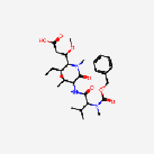 CC[C@H](C)C(C(CC(=O)O)OC)N(C)C(=O)[C@@H](NC(=O)C(C(C)C)N(C)C(=O)OCc1ccccc1)C(C)C